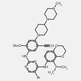 C#Cc1cc(Nc2ncc(Br)c(Nc3ccc4c(c3P(C)C)OCCO4)n2)c(OC)cc1N1CCC(N2CCN(C)CC2)CC1